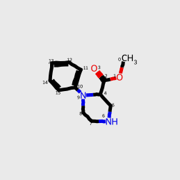 COC(=O)C1CNCCN1c1cc[c]cc1